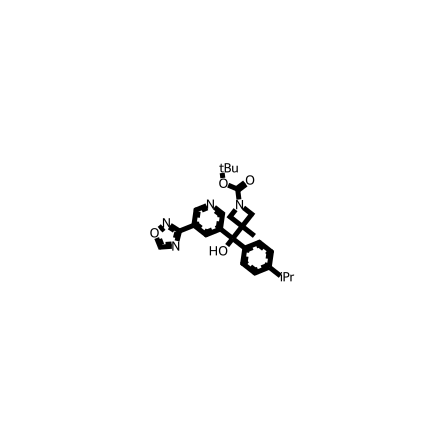 CC(C)c1ccc(C(O)(c2cncc(-c3ncon3)c2)C2(C)CN(C(=O)OC(C)(C)C)C2)cc1